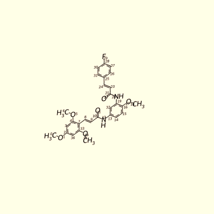 COc1cc(OC)c(C=CC(=O)Nc2ccc(OC)c(NC(=O)C=Cc3ccc(F)cc3)c2)c(OC)c1